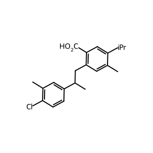 Cc1cc(C(C)Cc2cc(C)c(C(C)C)cc2C(=O)O)ccc1Cl